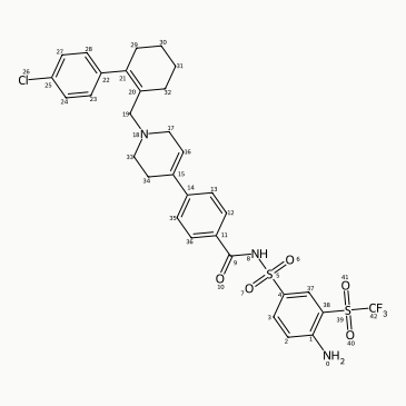 Nc1ccc(S(=O)(=O)NC(=O)c2ccc(C3=CCN(CC4=C(c5ccc(Cl)cc5)CCCC4)CC3)cc2)cc1S(=O)(=O)C(F)(F)F